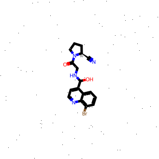 N#C[C@@H]1CCCN1C(=O)CNC(O)c1ccnc2c(Br)cccc12